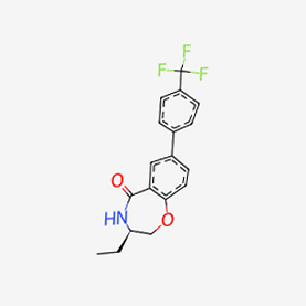 CC[C@@H]1COc2ccc(-c3ccc(C(F)(F)F)cc3)cc2C(=O)N1